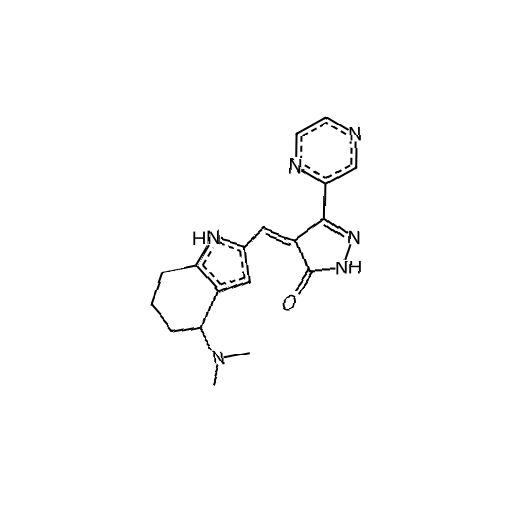 CN(C)C1CCCc2[nH]c(C=C3C(=O)NN=C3c3cnccn3)cc21